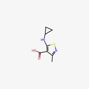 Cc1nsc(NC2CC2)c1C(=O)O